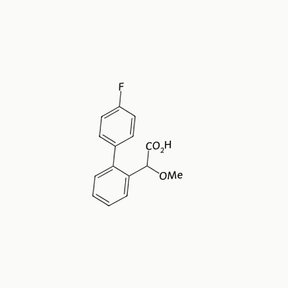 COC(C(=O)O)c1ccccc1-c1ccc(F)cc1